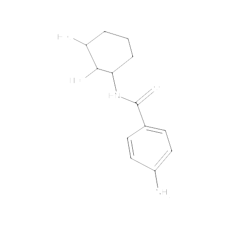 CC1CCCC(NC(=O)c2ccc(N)cc2)C1C